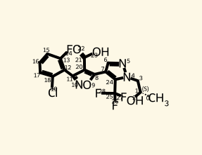 C[C@H](O)Cn1ncc(-c2onc(-c3c(F)cccc3Cl)c2C(=O)O)c1C(F)(F)F